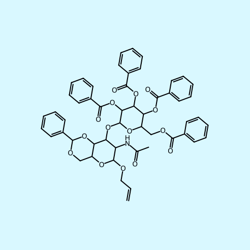 C=CCOC1OC2COC(c3ccccc3)OC2C(OC2OC(COC(=O)c3ccccc3)C(OC(=O)c3ccccc3)C(OC(=O)c3ccccc3)C2OC(=O)c2ccccc2)C1NC(C)=O